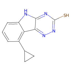 Sc1nnc2c(n1)[nH]c1cccc(C3CC3)c12